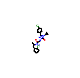 CC(Cc1ccccc1Cl)NC(=O)Cn1nc(-c2ccc(Cl)cc2)n(C2CC2)c1=O